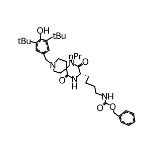 CCCN1C(=O)[C@H](CCCCNC(=O)OCc2ccccc2)NC(=O)C12CCN(Cc1cc(C(C)(C)C)c(O)c(C(C)(C)C)c1)CC2